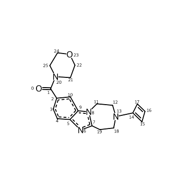 O=C(c1ccc2nc3n(c2c1)CCN(C1=CC=C1)CC3)N1CCOCC1